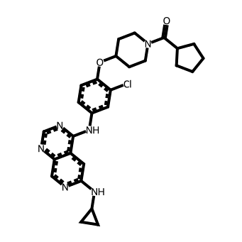 O=C(C1CCCC1)N1CCC(Oc2ccc(Nc3ncnc4cnc(NC5CC5)cc34)cc2Cl)CC1